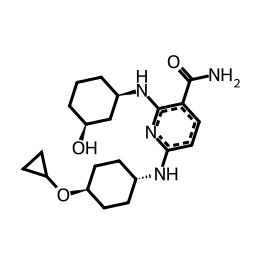 NC(=O)c1ccc(N[C@H]2CC[C@H](OC3CC3)CC2)nc1N[C@@H]1CCC[C@H](O)C1